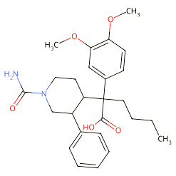 CCCCC(C(=O)O)(c1ccc(OC)c(OC)c1)C1CCN(C(N)=O)CC1c1ccccc1